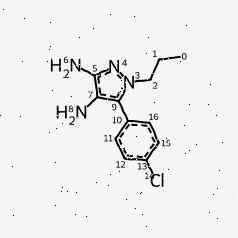 CCCn1nc(N)c(N)c1-c1ccc(Cl)cc1